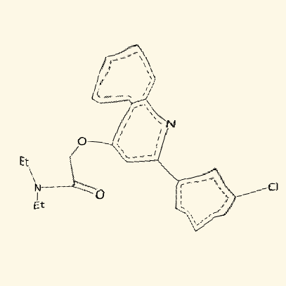 CCN(CC)C(=O)Oc1cc(-c2cccc(Cl)c2)nc2ccccc12